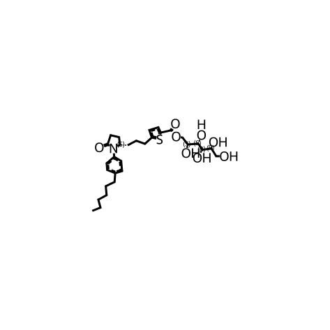 CCCCCCc1ccc(N2C(=O)CC[C@@H]2CCCc2ccc(C(=O)OC[C@H](O)[C@H](O)[C@H](O)[C@H](O)CO)s2)cc1